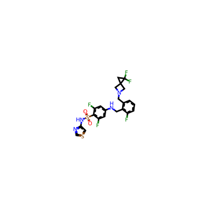 O=S(=O)(Nc1cscn1)c1c(F)cc(NCc2c(F)cccc2CN2CC3(C2)CC3(F)F)cc1F